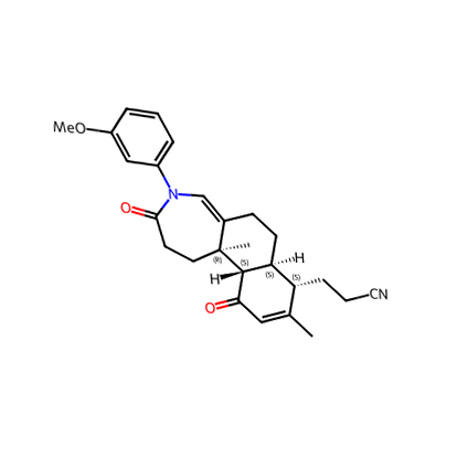 COc1cccc(N2C=C3CC[C@H]4[C@H](CCC#N)C(C)=CC(=O)[C@@H]4[C@@]3(C)CCC2=O)c1